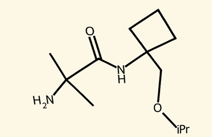 CC(C)OCC1(NC(=O)C(C)(C)N)CCC1